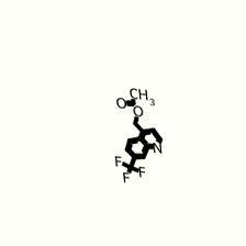 CC(=O)OCc1ccnc2cc(C(F)(F)F)ccc12